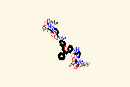 COC(=O)NC(C(=O)N1CCCC1C(=O)Nc1ccc(CC2(c3ccccc3)Cc3cc(NC(=O)C4CCCN4C(=O)C(NC(=O)OC)C(C)C)ccc3O2)cc1)C(C)C